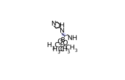 CC1(C)OB(/C(C=N)=C/Nc2ccncc2)OC1(C)C